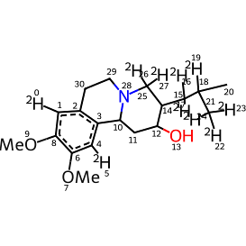 [2H]c1c2c(c([2H])c(OC)c1OC)C1CC(O)C(C([2H])([2H])C([2H])(C)C([2H])([2H])[2H])C([2H])([2H])N1CC2